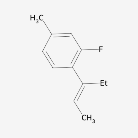 C/C=C(\CC)c1ccc(C)cc1F